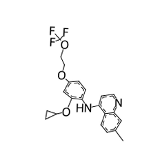 Cc1ccc2c(Nc3ccc(OCCOC(F)(F)F)cc3OC3CC3)ccnc2c1